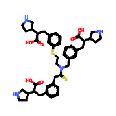 O=C(O)C(Cc1cccc(CC(=S)N(CCSc2cccc(CC(C(=O)O)C3CCNC3)c2)Cc2cccc(CC(C(=O)O)C3CCNC3)c2)c1)C1CCNC1